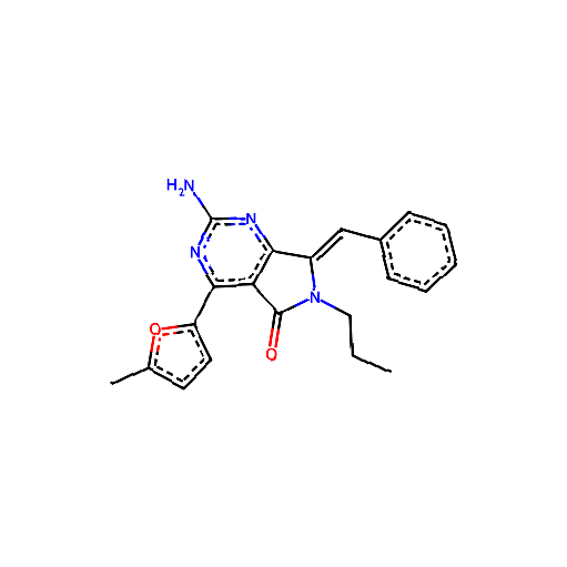 CCCN1C(=O)c2c(nc(N)nc2-c2ccc(C)o2)C1=Cc1ccccc1